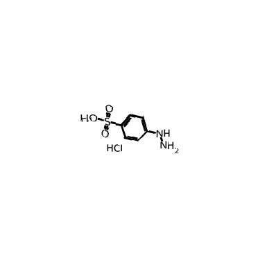 Cl.NNc1ccc(S(=O)(=O)O)cc1